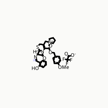 COc1ccc(COC(=O)C2=C(C[N+]3(C)CCCC3)CS[C@@H]3[C@H](/N=C\c4ccccc4O)C(=O)N23)cc1.O=C([O-])C(F)(F)F